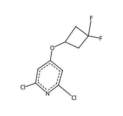 FC1(F)CC(Oc2cc(Cl)nc(Cl)c2)C1